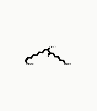 CCCCCC/C=C\CCCCCCC([C]=O)C(=O)CCCCCCCCCCCCCCC